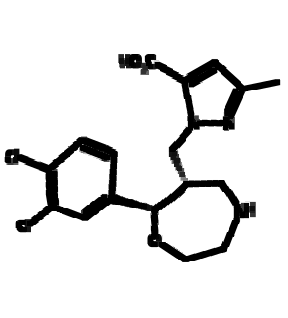 Cc1cc(C(=O)O)n(C[C@@H]2CNCCO[C@H]2c2ccc(Cl)c(Cl)c2)n1